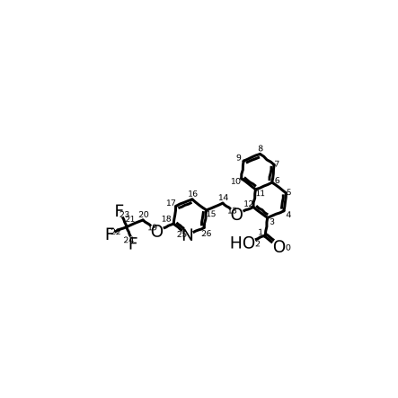 O=C(O)c1ccc2ccccc2c1OCc1ccc(OCC(F)(F)F)nc1